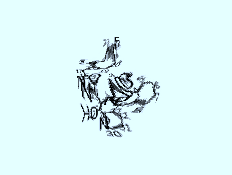 CS(=O)(=O)c1ccccc1-c1nc(-c2nnc(Cc3ccc(F)cc3)o2)c(O)c2ncccc12